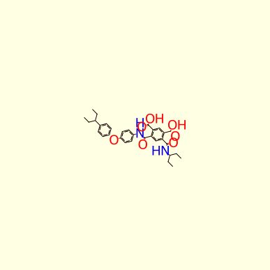 CCC(CC)NC(=O)c1cc(C(=O)Nc2ccc(Oc3ccc(C(CC)CC)cc3)cc2)c(C(=O)O)cc1C(=O)O